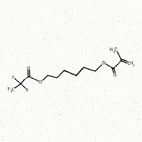 C=C(C)C(=O)OCCCCCCOC(=O)C(F)(F)C(F)(F)F